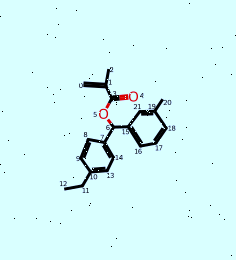 C=C(C)C(=O)OC(c1ccc(CC)cc1)c1cccc(C)c1